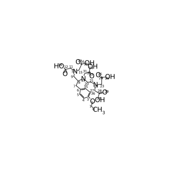 CCOc1ccc(CC(CN(CC(=O)O)CC(=O)O)N(CCN(CC(=O)O)CC(=O)O)CC(=O)O)cc1